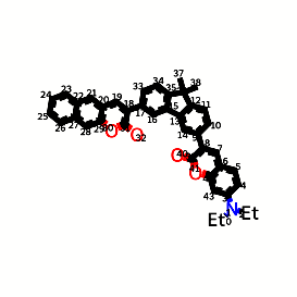 CCN(CC)c1ccc2cc(-c3ccc4c(c3)-c3cc(-c5cc6cc7ccccc7cc6oc5=O)ccc3C4(C)C)c(=O)oc2c1